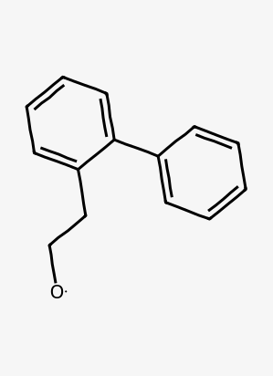 [O]CCc1ccccc1-c1ccccc1